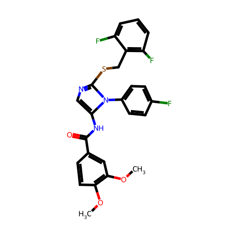 COc1ccc(C(=O)Nc2cnc(SCc3c(F)cccc3F)n2-c2ccc(F)cc2)cc1OC